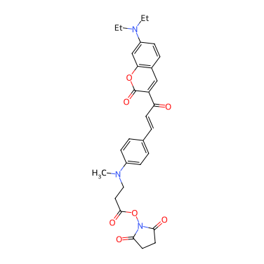 CCN(CC)c1ccc2cc(C(=O)/C=C/c3ccc(N(C)CCC(=O)ON4C(=O)CCC4=O)cc3)c(=O)oc2c1